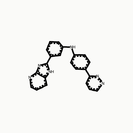 c1cc(Nc2ccc(-c3cccnn3)cc2)cc(-c2nc3ncccc3[nH]2)c1